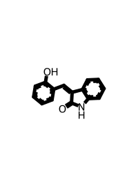 O=C1Nc2ccccc2C1=Cc1ccccc1O